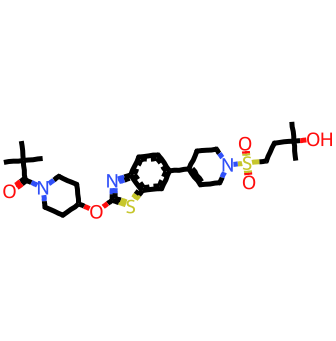 CC(C)(O)CCS(=O)(=O)N1CC=C(c2ccc3nc(OC4CCN(C(=O)C(C)(C)C)CC4)sc3c2)CC1